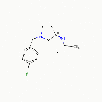 CCN[C@@H]1CCN(Cc2ccc(F)cc2)C1